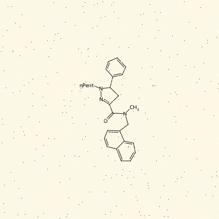 CCCCCN1N=C(C(=O)N(C)Cc2cccc3ccccc23)CC1c1ccccc1